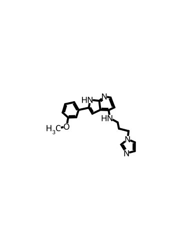 COc1cccc(-c2cc3c(NCCCn4ccnc4)ccnc3[nH]2)c1